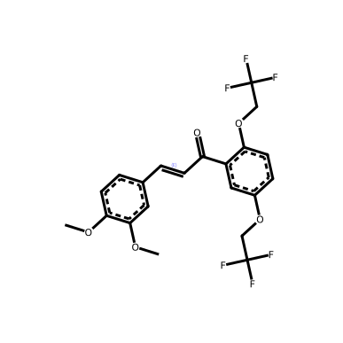 COc1ccc(/C=C/C(=O)c2cc(OCC(F)(F)F)ccc2OCC(F)(F)F)cc1OC